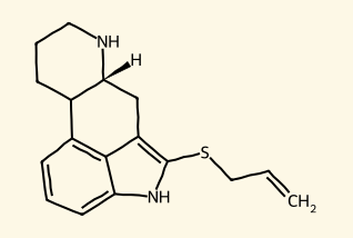 C=CCSc1[nH]c2cccc3c2c1C[C@H]1NCCCC31